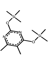 Cc1nc(O[Si](C)(C)C)nc(O[Si](C)(C)C)c1C